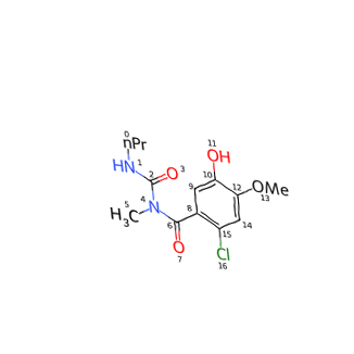 CCCNC(=O)N(C)C(=O)c1cc(O)c(OC)cc1Cl